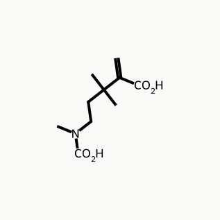 C=C(C(=O)O)C(C)(C)CCN(C)C(=O)O